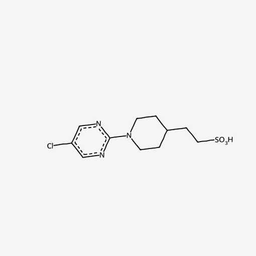 O=S(=O)(O)CCC1CCN(c2ncc(Cl)cn2)CC1